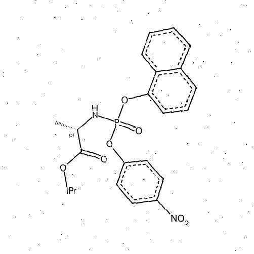 CC(C)OC(=O)[C@H](C)NP(=O)(Oc1ccc([N+](=O)[O-])cc1)Oc1cccc2ccccc12